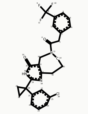 O=C(Cc1cccc(C(F)(F)F)c1)N1CCCc2nc(C3(c4cccc(Cl)c4)CC3)[nH]c(=O)c2C1